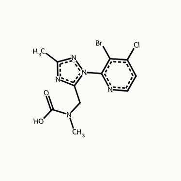 Cc1nc(CN(C)C(=O)O)n(-c2nccc(Cl)c2Br)n1